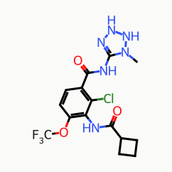 CN1NNN=C1NC(=O)c1ccc(OC(F)(F)F)c(NC(=O)C2CCC2)c1Cl